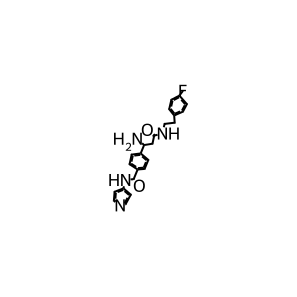 NC(CC(=O)NCCc1ccc(F)cc1)c1ccc(C(=O)Nc2ccncc2)cc1